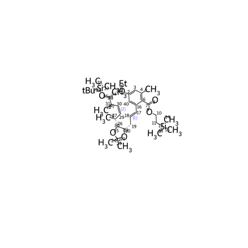 CCOc1cc(C)c(C(=O)OCC[Si](C)(C)C)c(/C=C/C[C@@H]2OC(C)(C)O[C@@H]2C(C)/C=C\[C@@H](C)[C@@H](C)O[Si](C)(C)C(C)(C)C)c1